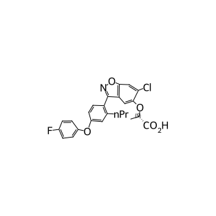 CCCc1cc(Oc2ccc(F)cc2)ccc1-c1noc2cc(Cl)c(O[C@@H](C)C(=O)O)cc12